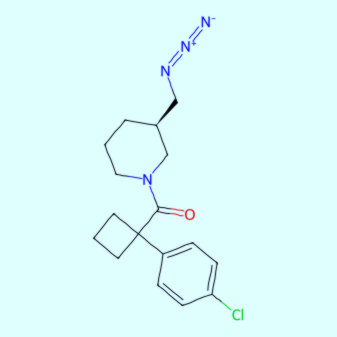 [N-]=[N+]=NC[C@@H]1CCCN(C(=O)C2(c3ccc(Cl)cc3)CCC2)C1